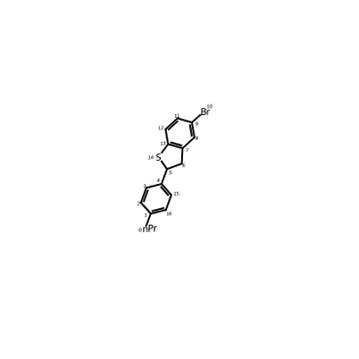 CCCc1ccc(C2Cc3cc(Br)ccc3S2)cc1